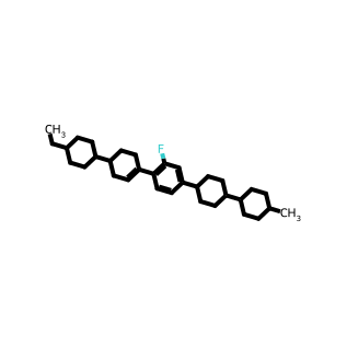 CCC1CCC(C2CC=C(c3ccc(C4CCC(C5CCC(C)CC5)CC4)cc3F)CC2)CC1